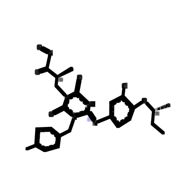 CC[C@@H](C)Oc1ccc(/N=c2\[nH]c(=O)n(C[C@H](C)C(=O)N=O)c(=O)n2Cc2ccc(C)cc2)cc1Cl